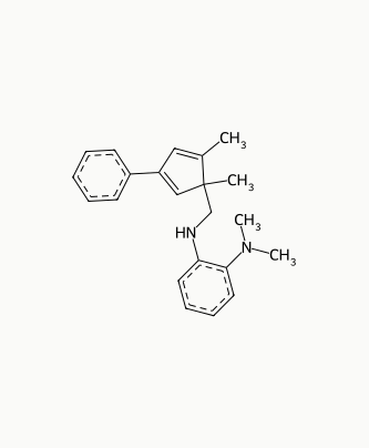 CC1=CC(c2ccccc2)=CC1(C)CNc1ccccc1N(C)C